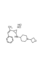 CC(=Cc1ccccc1)C1CC1NC1CCN(C2COC2)CC1.Cl.Cl